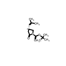 CC(C)=C[C@H]1CC(=O)N(C(=O)OC(C)(C)C)C1